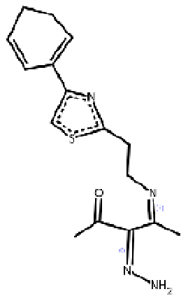 CC(=O)C(=N/N)/C(C)=N\CCc1nc(C2=CCCC=C2)cs1